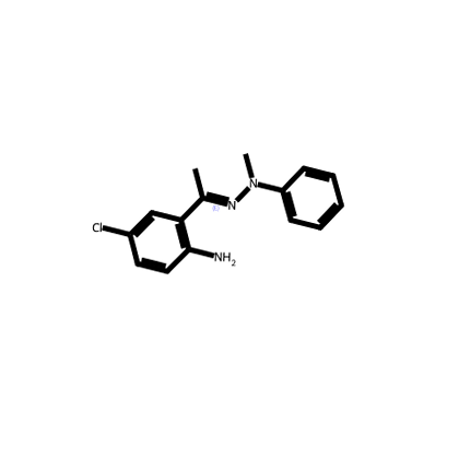 C/C(=N\N(C)c1ccccc1)c1cc(Cl)ccc1N